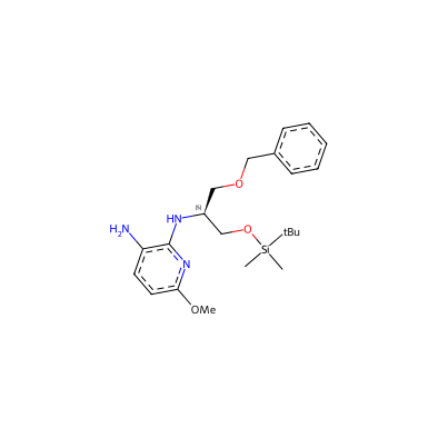 COc1ccc(N)c(N[C@@H](COCc2ccccc2)CO[Si](C)(C)C(C)(C)C)n1